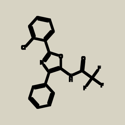 O=C(Nc1oc(-c2ccccc2Cl)nc1-c1ccccc1)C(F)(F)F